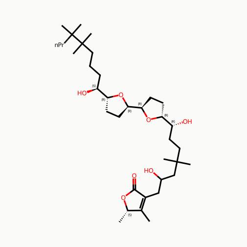 CCCC(C)(C)C(C)(C)CCC[C@H](O)[C@H]1CC[C@H]([C@H]2CC[C@H]([C@H](O)CCC(C)(C)CC(O)CC3=C(C)[C@H](C)OC3=O)O2)O1